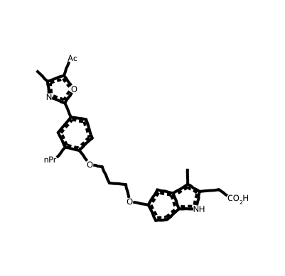 CCCc1cc(-c2nc(C)c(C(C)=O)o2)ccc1OCCCOc1ccc2[nH]c(CC(=O)O)c(C)c2c1